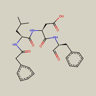 CC(C)C[C@H](NC(=O)Cc1ccccc1)C(=O)N[C@@H](CC(=O)O)C(=O)N[C@H]([C]=O)Cc1ccccc1